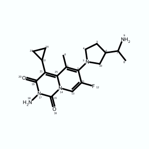 Cc1c(N2CCC(C(C)N)C2)c(F)cn2c(=O)n(N)c(=O)c(C3CC3)c12